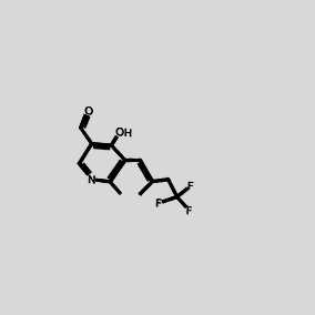 C/C(=C\c1c(C)ncc(C=O)c1O)CC(F)(F)F